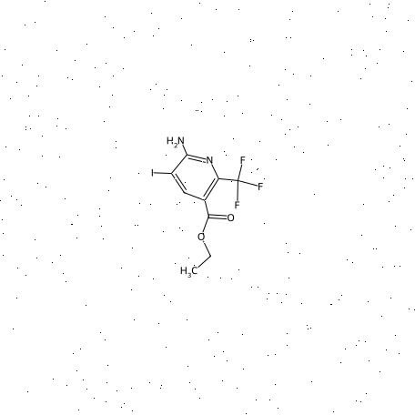 CCOC(=O)c1cc(I)c(N)nc1C(F)(F)F